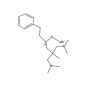 CCCO[SiH](CCc1ccccc1)CC(C)(CN(C)C)CN(C)C